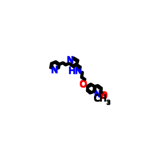 Cn1c(=O)ccc2cc(OCCCNCc3ccnc(CCc4cccnc4)c3)ccc21